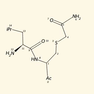 CC(=O)C(CSCC(N)=O)NC(=O)[C@@H](N)CC(C)C